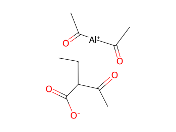 CCC(C(C)=O)C(=O)[O-].C[C](=O)[Al+][C](C)=O